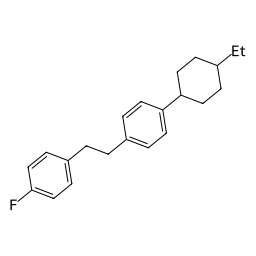 CCC1CCC(c2ccc(CCc3ccc(F)cc3)cc2)CC1